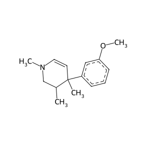 COc1cccc(C2(C)C=CN(C)CC2C)c1